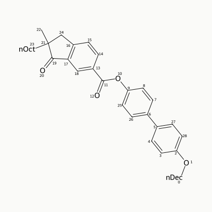 CCCCCCCCCCOc1ccc(-c2ccc(OC(=O)c3ccc4c(c3)C(=O)C(C)(CCCCCCCC)C4)cc2)cc1